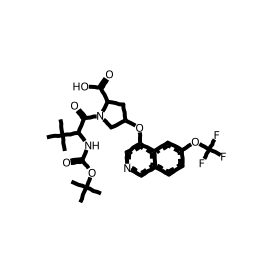 CC(C)(C)OC(=O)NC(C(=O)N1CC(Oc2cncc3ccc(OC(F)(F)F)cc23)CC1C(=O)O)C(C)(C)C